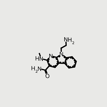 CNc1nc2c(cc1C(N)=O)c1ccccc1n2CCN